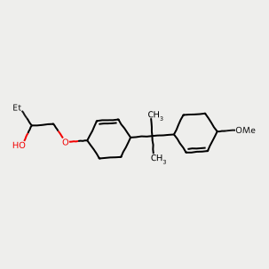 CCC(O)COC1C=CC(C(C)(C)C2C=CC(OC)CC2)CC1